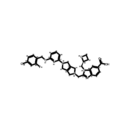 O=C(O)c1ccc2nc(CN3CC4=C(C3)CN(c3cccc(OCc5ccc(Cl)cc5F)n3)C4)n(C[C@@H]3CCO3)c2c1